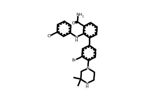 CC1(C)CN(c2ccc(-c3cccc(C(N)=O)c3Nc3cccc(Cl)c3)cc2Br)CCN1